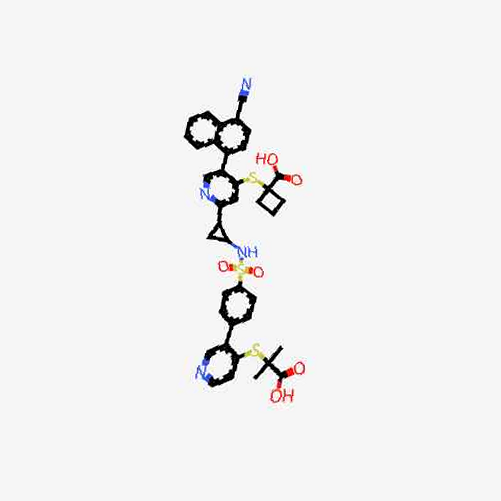 CC(C)(Sc1ccncc1-c1ccc(S(=O)(=O)NC2CC2c2cc(SC3(C(=O)O)CCC3)c(-c3ccc(C#N)c4ccccc34)cn2)cc1)C(=O)O